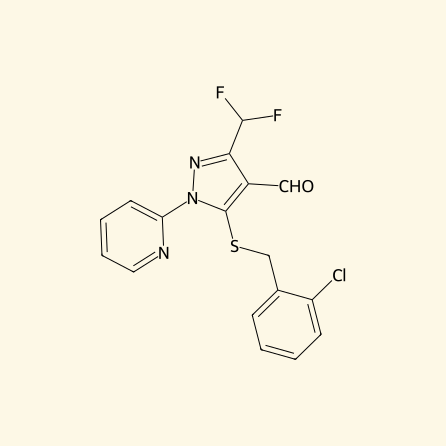 O=Cc1c(C(F)F)nn(-c2ccccn2)c1SCc1ccccc1Cl